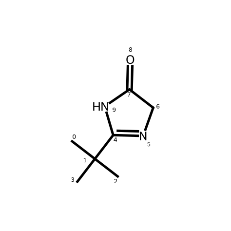 CC(C)(C)C1=NCC(=O)N1